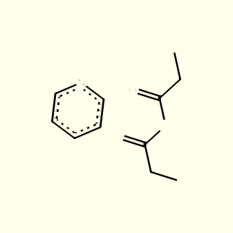 CCC(=O)OC(=O)CC.c1ccncc1